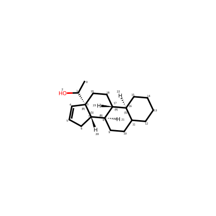 CC(O)[C@@]12C=CC[C@H]1[C@@H]1CCC3CCCC[C@@H]3[C@H]1CC2